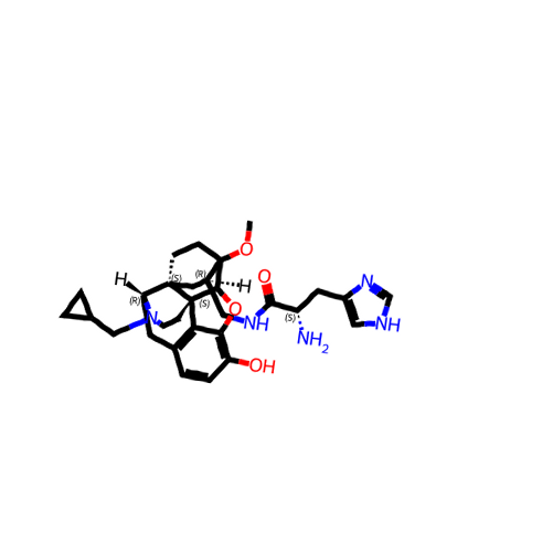 COC12CC[C@@]3(C[C@@H]1CNC(=O)[C@@H](N)Cc1c[nH]cn1)[C@H]1Cc4ccc(O)c5c4[C@@]3(CCN1CC1CC1)C2O5